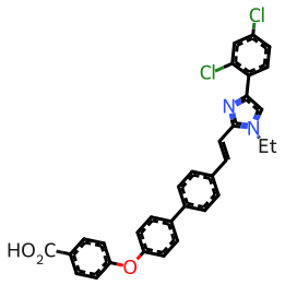 CCn1cc(-c2ccc(Cl)cc2Cl)nc1/C=C/c1ccc(-c2ccc(Oc3ccc(C(=O)O)cc3)cc2)cc1